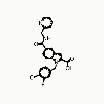 O=C(NCc1ccccn1)c1ccc2c(c1)cc(C(=O)O)n2Cc1ccc(Cl)c(F)c1